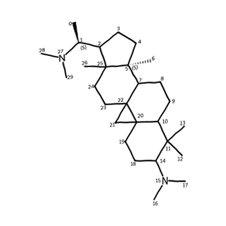 C[C@@H](C1CC[C@@]2(C)C3CCC4C(C)(C)C(N(C)C)CCC45CC35CCC12C)N(C)C